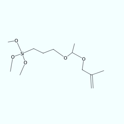 C=C(C)COC(C)OCCC[Si](OC)(OC)OC